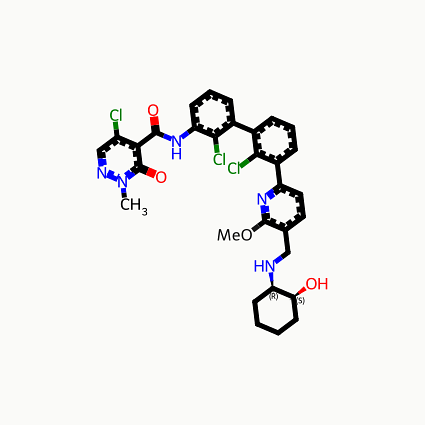 COc1nc(-c2cccc(-c3cccc(NC(=O)c4c(Cl)cnn(C)c4=O)c3Cl)c2Cl)ccc1CN[C@@H]1CCCC[C@@H]1O